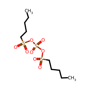 CCCCCS(=O)(=O)OS(=O)(=O)OS(=O)(=O)CCCCC